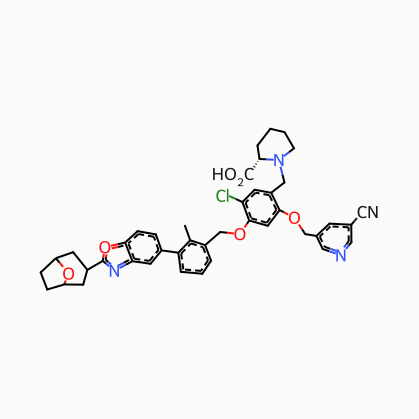 Cc1c(COc2cc(OCc3cncc(C#N)c3)c(CN3CCCC[C@H]3C(=O)O)cc2Cl)cccc1-c1ccc2oc(C3CC4CCC(C3)O4)nc2c1